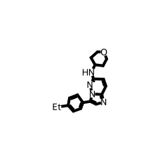 CCc1ccc(-c2cnc3ccc(NC4CCOCC4)nn23)cc1